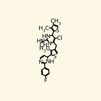 CNC1=NC(Cc2csc(C3C=CN=C(c4ccc(F)cc4)N3)c2C)=C(Cl)C(c2scc(C)c2C)N1